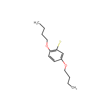 CCCCOc1ccc(OCCCC)c([S])c1